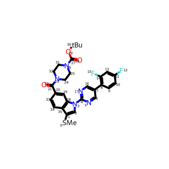 CSc1cn(-c2ncc(-c3ccc(F)cc3F)cn2)c2cc(C(=O)N3CCN(C(=O)OC(C)(C)C)CC3)ccc12